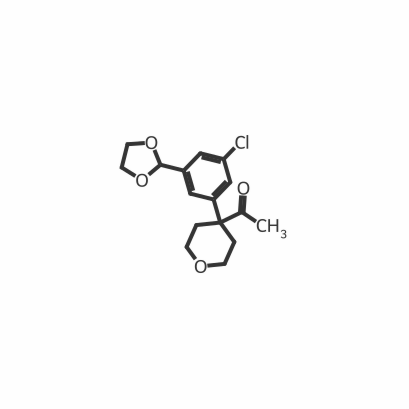 CC(=O)C1(c2cc(Cl)cc(C3OCCO3)c2)CCOCC1